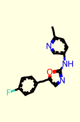 Cc1ccc(Nc2ncc(-c3ccc(F)cc3)o2)cn1